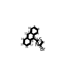 Brc1csc(-c2c3ccccc3cc3ccccc23)n1